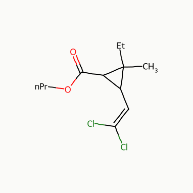 CCCOC(=O)C1C(C=C(Cl)Cl)C1(C)CC